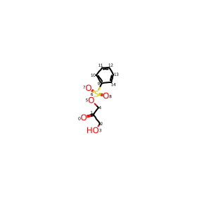 O=C(CO)COS(=O)(=O)c1ccccc1